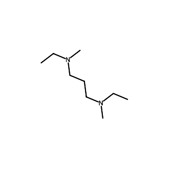 CCN(C)CCCN(C)CC